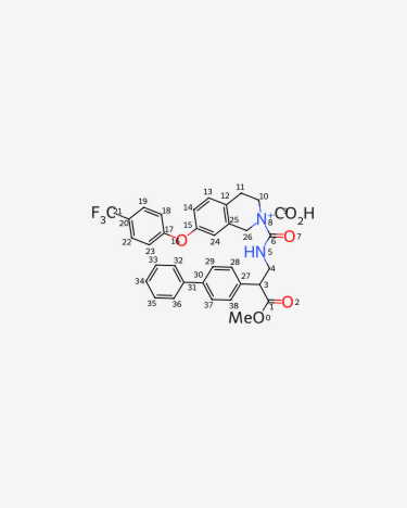 COC(=O)C(CNC(=O)[N+]1(C(=O)O)CCc2ccc(Oc3ccc(C(F)(F)F)cc3)cc2C1)c1ccc(-c2ccccc2)cc1